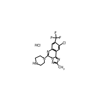 Cc1nc2c3cc(Cl)c(C(F)(F)F)cc3nc(N3CCNCC3)n2n1.Cl